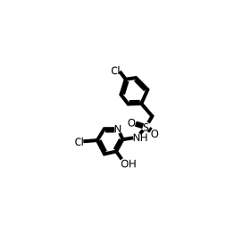 O=S(=O)(Cc1ccc(Cl)cc1)Nc1ncc(Cl)cc1O